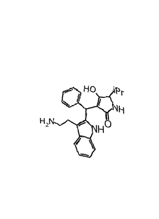 CC(C)C1NC(=O)C(C(c2ccccc2)c2[nH]c3ccccc3c2CCN)=C1O